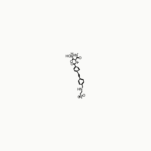 CNC(=O)C(C(=O)NO)N(C)C(=O)c1ccc(C#Cc2ccc(CNCCS(C)(=O)=O)cc2)cc1